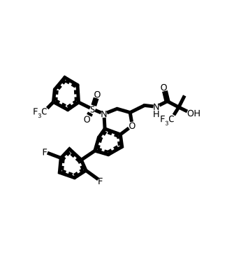 CC(O)(C(=O)NCC1CN(S(=O)(=O)c2cccc(C(F)(F)F)c2)c2cc(-c3cc(F)ccc3F)ccc2O1)C(F)(F)F